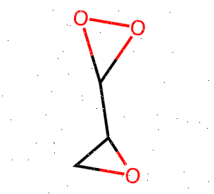 C1OC1C1OO1